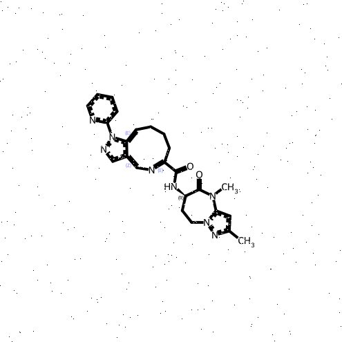 Cc1cc2n(n1)CC[C@@H](NC(=O)/C1=N/C=c3/cnn(-c4ccccn4)/c3=C/CCC1)C(=O)N2C